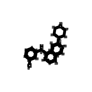 Clc1cccc(Nc2ncnc3cnc(N4CCOCC4)nc23)c1